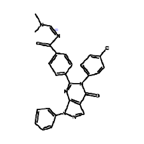 CN(C)/C=N\C(=O)c1ccc(-c2nc3c(cnn3-c3ccccc3)c(=O)n2-c2ccc(Cl)cc2)cc1